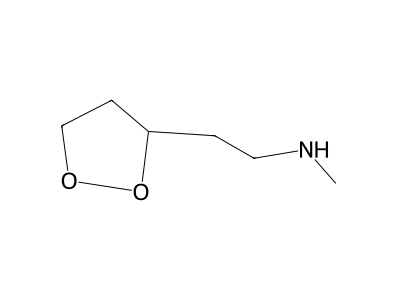 CNCCC1CCOO1